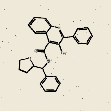 O=C(NC(c1ccccc1)C1CCCO1)c1c(O)c(-c2ccccc2)nc2ccccc12